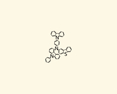 c1ccc(-n2c3ccccc3c3c(N(c4ccc(-n5c6ccccc6c6ccccc65)cc4)c4ccc5sc6ccccc6c5c4)cccc32)cc1